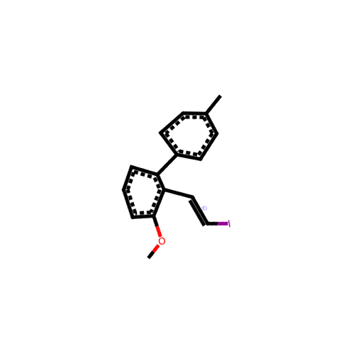 COc1cccc(-c2ccc(C)cc2)c1/C=C/I